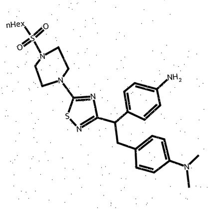 CCCCCCS(=O)(=O)N1CCN(c2nc(C(Cc3ccc(N(C)C)cc3)c3ccc(N)cc3)ns2)CC1